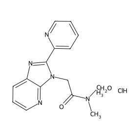 CN(C)C(=O)Cn1c(-c2ccccn2)nc2cccnc21.Cl.O